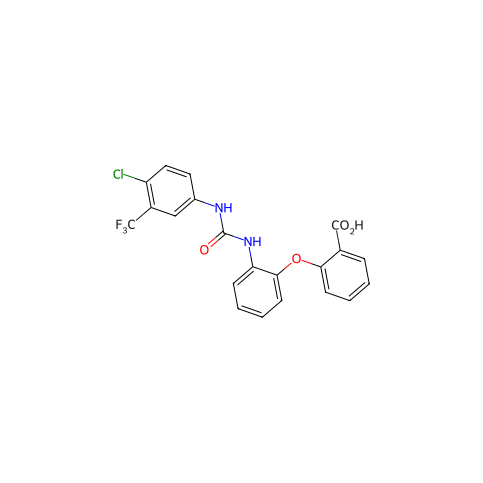 O=C(Nc1ccc(Cl)c(C(F)(F)F)c1)Nc1ccccc1Oc1ccccc1C(=O)O